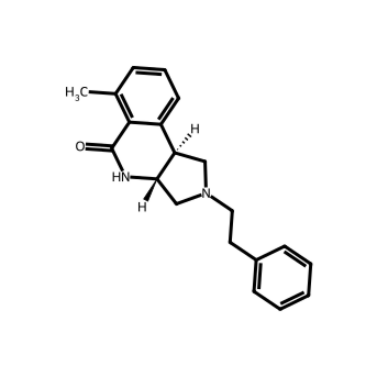 Cc1cccc2c1C(=O)N[C@H]1CN(CCc3ccccc3)C[C@H]21